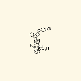 O=C(NC1(C(=O)O)C2CC3CC(C2)CC1C3)c1cnc(N2CC3(CCCCC3)c3cc(OC4CCN(C5CSC5)CC4)ccc32)nc1C(F)(F)F